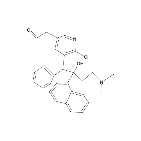 CN(C)CCC(O)(C1=C=C=Cc2ccccc21)C(c1ccccc1)c1cc(CC=O)cnc1O